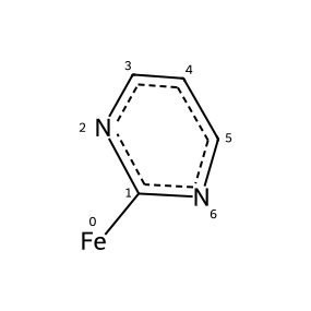 [Fe][c]1ncccn1